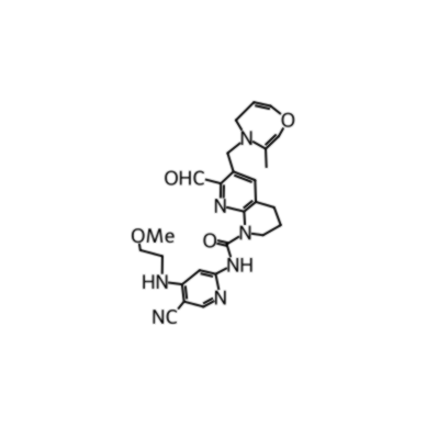 COCCNc1cc(NC(=O)N2CCCc3cc(CN4CC=COC=C4C)c(C=O)nc32)ncc1C#N